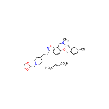 CN(C)Cc1c(OCc2ccc(C#N)cc2)ccc2c(CCC3CCN(CC4OCCO4)CC3)noc12.O=C(O)/C=C/C(=O)O